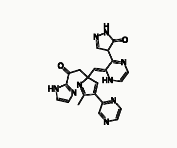 CC1=NC(C=C2NC=CN=C2C2C=NNC2=O)(CC(=O)c2ncc[nH]2)C=C1c1cnccn1